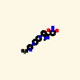 Cn1nc([C@H]2CCC(=O)NC2=O)c2cccc(N3CCC4(CCN(c5ccc([N+](=O)[O-])nc5)CC4)CC3)c21